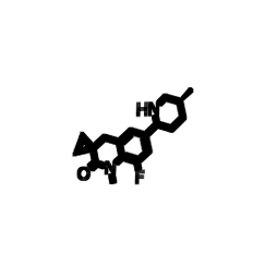 C[C@H]1CCC(c2cc(F)c3c(c2)CC2(CC2)C(=O)N3C)NC1